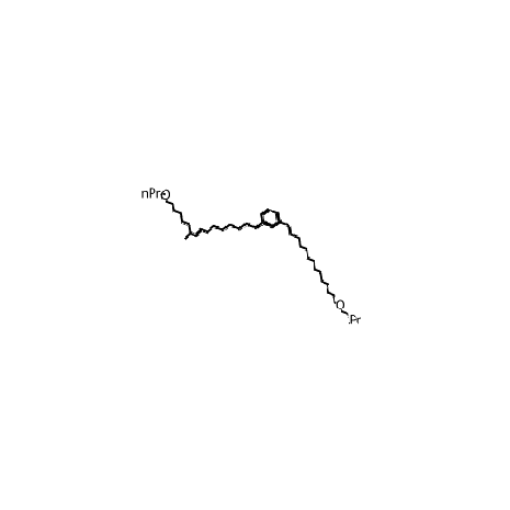 CCCOCCCCCCC(C)/C=C/CCCCCCCc1cccc(CCCCCCCCCCCCCCOCCC(C)C)c1